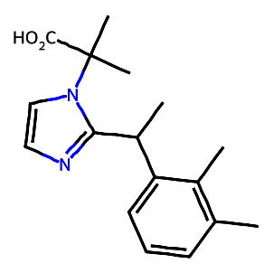 Cc1cccc(C(C)c2nccn2C(C)(C)C(=O)O)c1C